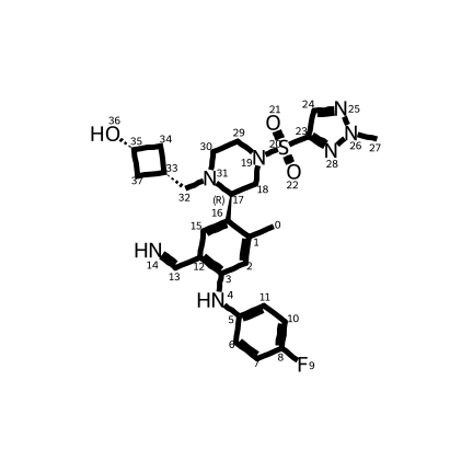 Cc1cc(Nc2ccc(F)cc2)c(C=N)cc1[C@@H]1CN(S(=O)(=O)c2cnn(C)n2)CCN1C[C@H]1C[C@@H](O)C1